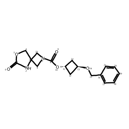 O=C1NC2(CO1)CN(C(=O)O[C@H]1C[C@H](OCc3ccccc3)C1)C2